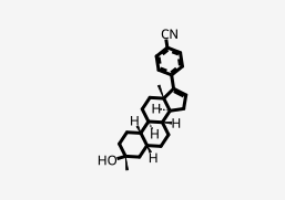 C[C@@]1(O)CC[C@H]2[C@H](CC[C@@H]3[C@@H]2CC[C@]2(C)C(c4ccc(C#N)cc4)=CC[C@@H]32)C1